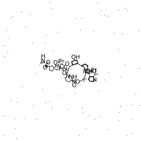 CCn1c(-c2cccnc2[C@H](C)OC)c2c3cc(ccc31)-c1cc(O)cc(c1)C[C@H](NC(=O)[C@H](C(C)C)N1CC[C@]3(CCC(S(=O)(=O)[C@@H]4CN4)C3)C1=O)C(=O)N1CCC[C@H](N1)C(=O)OCC(C)(C)C2